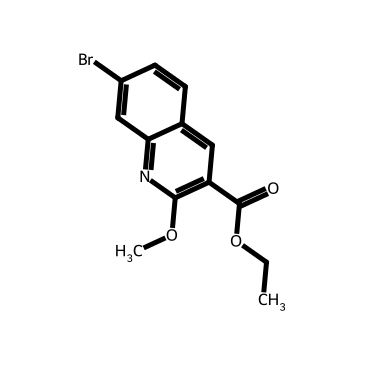 CCOC(=O)c1cc2ccc(Br)cc2nc1OC